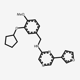 COc1ccc(CNc2cncc(-c3ccoc3)n2)cc1OC1CCCC1